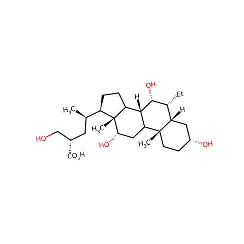 CC[C@H]1[C@@H](O)[C@H]2C3CC[C@H]([C@H](C)C[C@@H](CO)C(=O)O)[C@@]3(C)[C@@H](O)CC2[C@@]2(C)CC[C@@H](O)C[C@@H]12